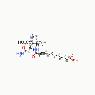 CCCCCCCCCC(=O)N[C@@H](CC(N)=O)C(=O)O.CCCCCCCCCC(=O)O.N[C@@H](CC(=O)O)C(=O)O.[Na]